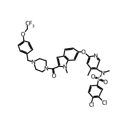 Cc1cc(Oc2ccc3cc(C(=O)N4CCN(Cc5ccc(OCC(F)(F)F)cc5)CC4)n(C)c3c2)ncc1N(C)S(=O)(=O)c1ccc(Cl)c(Cl)c1